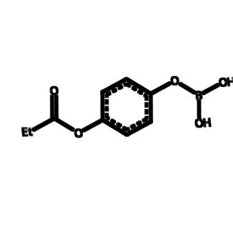 CCC(=O)Oc1ccc(OB(O)O)cc1